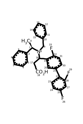 C[C@H](c1ccccc1)N(Cc1ccccc1)C(CC(=O)O)c1cc(-c2ccc(F)cc2F)ccc1F